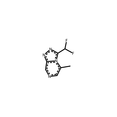 Cc1cncc2nnc(C(F)F)n12